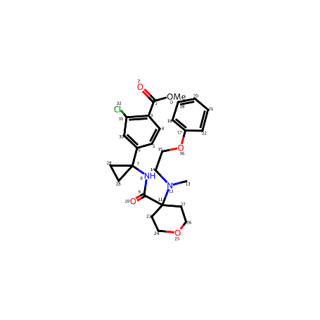 COC(=O)c1ccc(C2(NC(=O)C3(N(C)CCOc4ccccc4)CCOCC3)CC2)cc1Cl